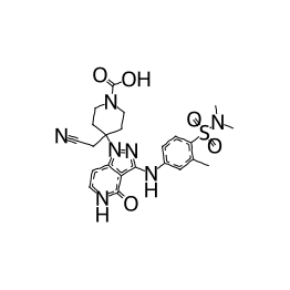 Cc1cc(Nc2nn(C3(CC#N)CCN(C(=O)O)CC3)c3cc[nH]c(=O)c23)ccc1S(=O)(=O)N(C)C